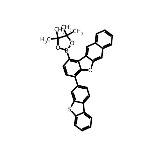 CC1(C)OB(c2ccc(-c3ccc4c(c3)sc3ccccc34)c3oc4cc5ccccc5cc4c23)OC1(C)C